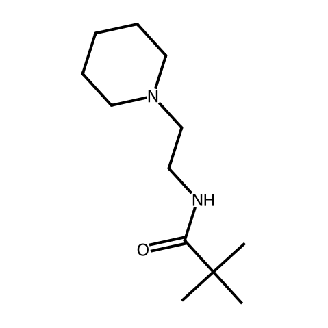 CC(C)(C)C(=O)NCCN1CCCCC1